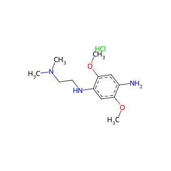 COc1cc(NCCN(C)C)c(OC)cc1N.Cl